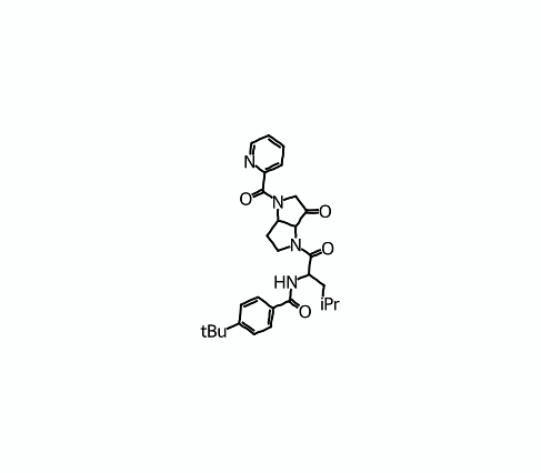 CC(C)CC(NC(=O)c1ccc(C(C)(C)C)cc1)C(=O)N1CCC2C1C(=O)CN2C(=O)c1ccccn1